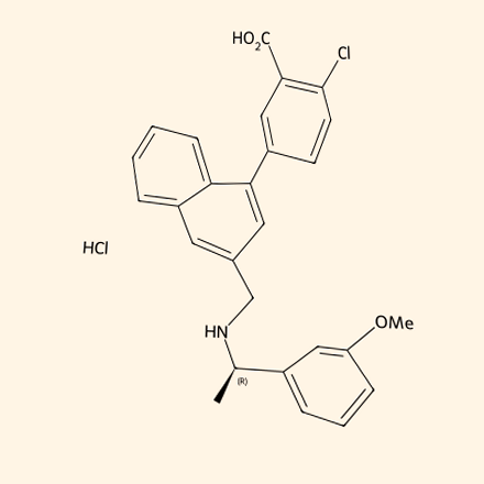 COc1cccc([C@@H](C)NCc2cc(-c3ccc(Cl)c(C(=O)O)c3)c3ccccc3c2)c1.Cl